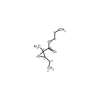 CCCOC(=O)C1(C)OC1CC